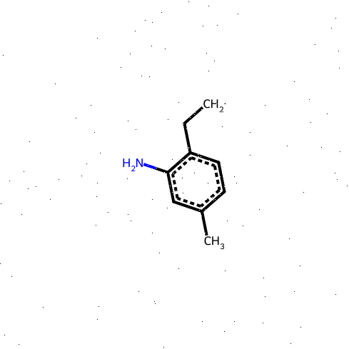 [CH2]Cc1ccc(C)cc1N